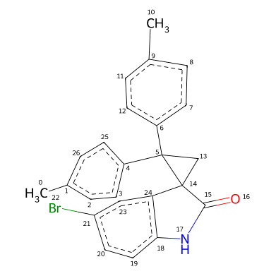 Cc1ccc(C2(c3ccc(C)cc3)CC23C(=O)Nc2ccc(Br)cc23)cc1